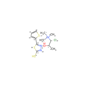 CC(O)C[N+](C)(C)C.Sc1nnc(-c2cccs2)s1.[Cl-]